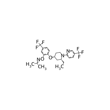 CC[C@H]1C[C@@H](Oc2ccc(C(F)(F)F)cc2ON=C(C)C)CCN1c1ccc(C(F)(F)F)cn1